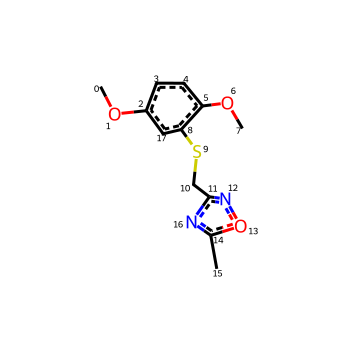 COc1ccc(OC)c(SCc2noc(C)n2)c1